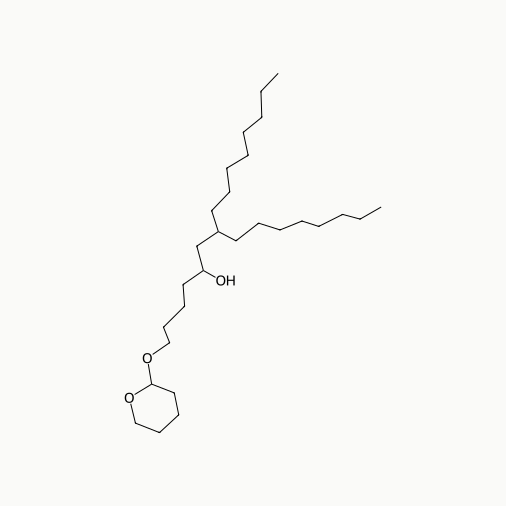 CCCCCCCCC(CCCCCCCC)CC(O)CCCCOC1CCCCO1